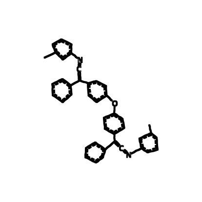 Cc1cccc(N=C=C(c2ccccc2)c2ccc(Oc3ccc(C(=C=Nc4cccc(C)c4)c4ccccc4)cc3)cc2)c1